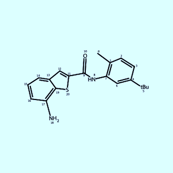 Cc1ccc(C(C)(C)C)cc1NC(=O)c1cc2cccc(N)c2s1